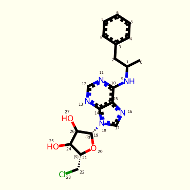 CC(Cc1ccccc1)Nc1ncnc2c1ncn2[C@@H]1O[C@H](CCl)C(O)C1O